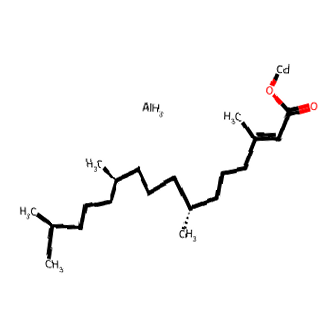 C/C(=C\C(=O)[O][Cd])CCC[C@H](C)CCC[C@H](C)CCCC(C)C.[AlH3]